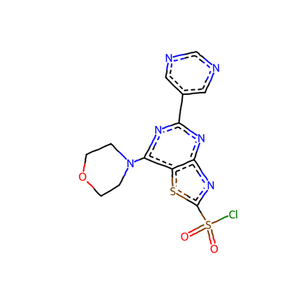 O=S(=O)(Cl)c1nc2nc(-c3cncnc3)nc(N3CCOCC3)c2s1